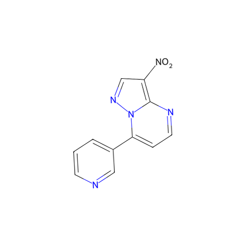 O=[N+]([O-])c1cnn2c(-c3cccnc3)ccnc12